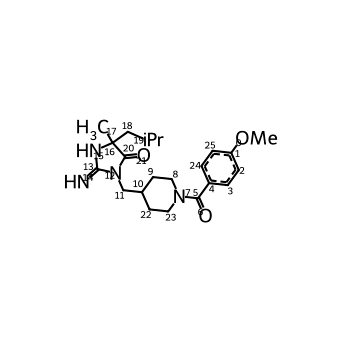 COc1ccc(C(=O)N2CCC(CN3C(=N)NC(C)(CC(C)C)C3=O)CC2)cc1